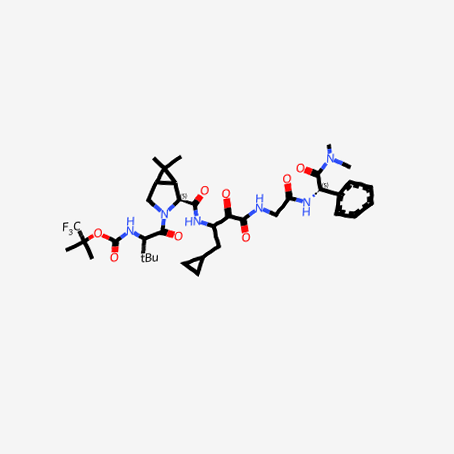 CN(C)C(=O)[C@@H](NC(=O)CNC(=O)C(=O)C(CC1CC1)NC(=O)[C@@H]1C2C(CN1C(=O)C(NC(=O)OC(C)(C)C(F)(F)F)C(C)(C)C)C2(C)C)c1ccccc1